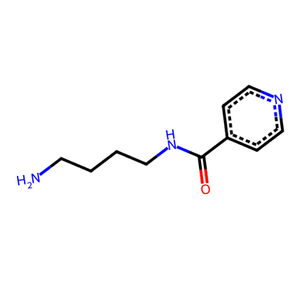 NCCCCNC(=O)c1ccncc1